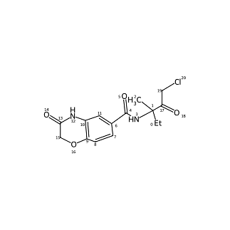 CCC(C)(NC(=O)c1ccc2c(c1)NC(=O)CO2)C(=O)CCl